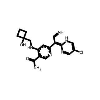 N=C/C(=C1/N=CC(Cl)=CN1)c1cc(NCC2(O)CCC2)c(C(N)=O)cn1